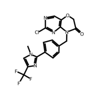 Cn1cc(C(F)(F)F)nc1-c1ccc(CN2C(=O)COc3cnc(Cl)nc32)cc1